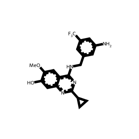 COc1cc2c(NCc3cc(N)cc(C(F)(F)F)c3)nc(C3CC3)nc2cc1O